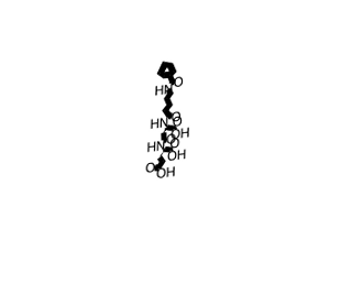 O=C(O)CC[C@H](NC(=O)C[C@H](NC(=O)CCCCNC(=O)c1ccccc1)C(=O)O)C(=O)O